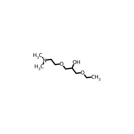 CCOCC(O)COCCN(C)C